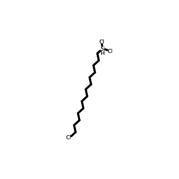 ClCCCCCCCCCCCCCC[SiH](Cl)Cl